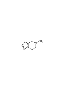 CN1CCc2n[c]sc2C1